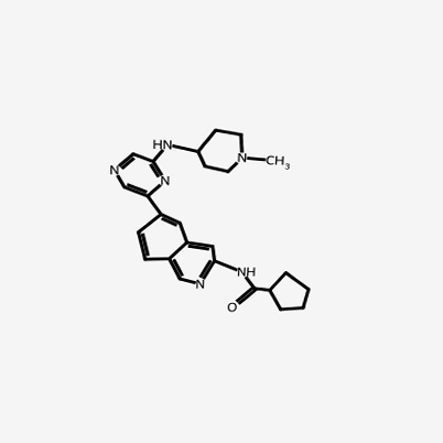 CN1CCC(Nc2cncc(-c3ccc4cnc(NC(=O)C5CCCC5)cc4c3)n2)CC1